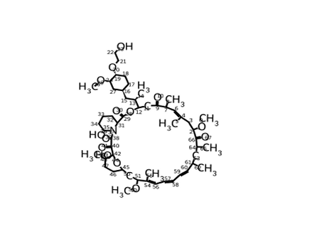 COC1C/C(C)=C/C(C)C(=O)CC([C@H](C)C[C@@H]2CC[C@@H](OCCO)[C@H](OC)C2)OC(=O)C2CCCC(O)N2C(=O)C(=O)C2(O)OC(CCC2C)CC(OC)/C(C)=C/C=C/C=C/C(C)CC(C)C1=O